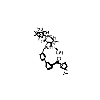 C[C@@H]1[C@@H](NC(=O)[C@@H]2[C@H]([C@H](C)O)[C@H](CO)ON2Cc2cccc(-c3cccc(C(=O)N4CC[C@H](N(C)C)C4)c3)c2)C[C@H]2C[C@@H]1C2(C)C